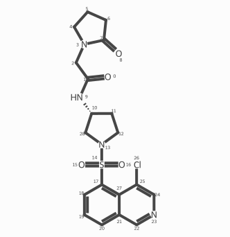 O=C(CN1CCCC1=O)N[C@@H]1CCN(S(=O)(=O)c2cccc3cncc(Cl)c23)C1